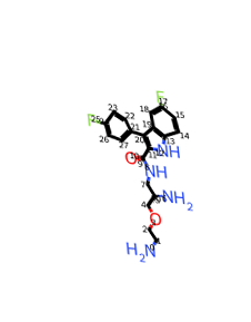 NCCOC[C@H](N)CNC(=O)c1[nH]c2ccc(F)cc2c1-c1ccc(F)cc1